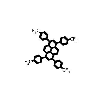 FC(F)(F)c1ccc(C2=CC(c3ccc(C(F)(F)F)cc3)=C3C=CC4=C5C(=CC=C2C35)C(c2ccc(C(F)(F)F)cc2)C=C4c2ccc(C(F)(F)F)cc2)cc1